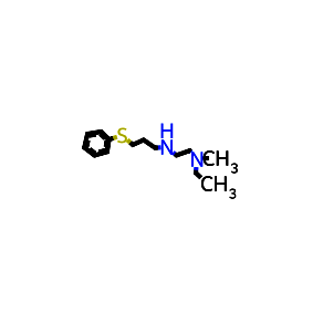 CCN(C)CCNCCCSc1ccccc1